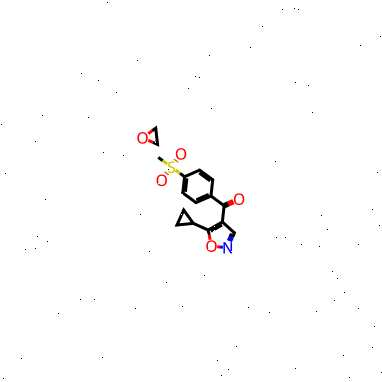 C1CO1.CS(=O)(=O)c1ccc(C(=O)c2cnoc2C2CC2)cc1